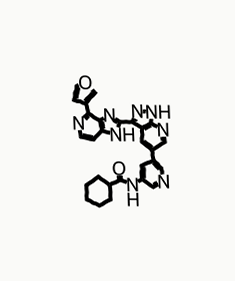 O=C(Nc1cncc(-c2cnc3[nH]nc(-c4nc5c(-c6ccoc6)nccc5[nH]4)c3c2)c1)C1CCCCC1